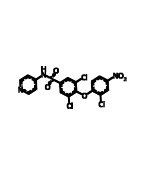 O=[N+]([O-])c1ccc(Oc2c(Cl)cc(S(=O)(=O)Nc3ccncc3)cc2Cl)c(Cl)c1